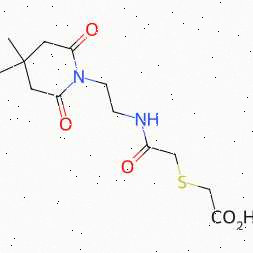 CC1(C)CC(=O)N(CCNC(=O)CSCC(=O)O)C(=O)C1